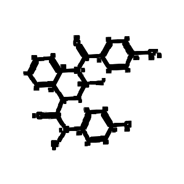 CCN(C(=O)C1C[C@H](C)N(C(=O)c2ccc(C(F)(F)F)cc2)c2ccccc21)c1ccc(Cl)cc1